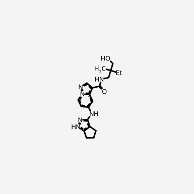 CCC(C)(CO)CNC(=O)c1cnn2ccc(Nc3n[nH]c4c3CCC4)cc12